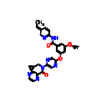 C/C=C1\C=CC(NC(=O)c2cc(Oc3cnc(N(CC4CC4)C(=O)c4cnccn4)cn3)cc(OC(C)C)c2)=NC1